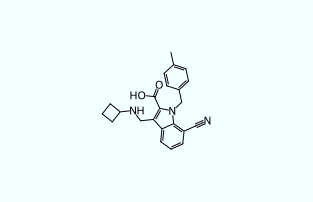 Cc1ccc(Cn2c(C(=O)O)c(CNC3CCC3)c3cccc(C#N)c32)cc1